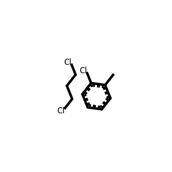 Cc1ccccc1Cl.ClCCCCl